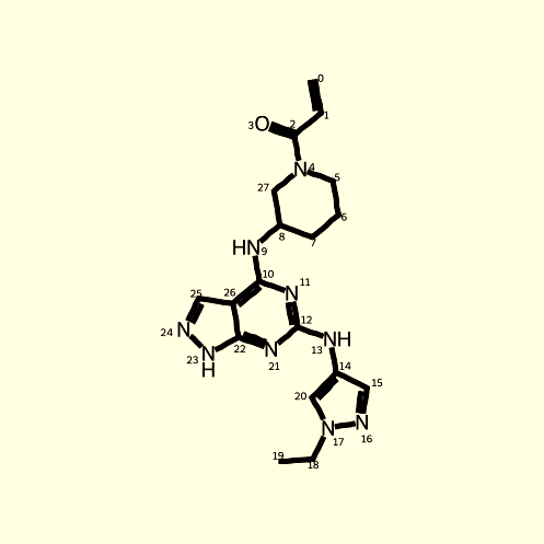 C=CC(=O)N1CCCC(Nc2nc(Nc3cnn(CC)c3)nc3[nH]ncc23)C1